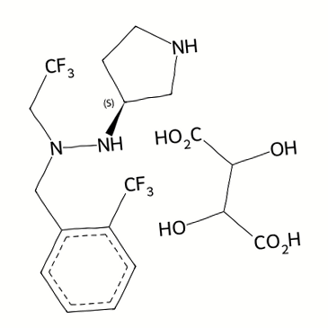 FC(F)(F)CN(Cc1ccccc1C(F)(F)F)N[C@H]1CCNC1.O=C(O)C(O)C(O)C(=O)O